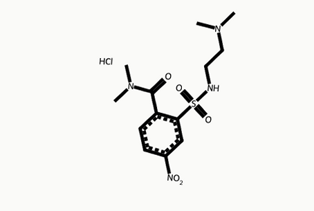 CN(C)CCNS(=O)(=O)c1cc([N+](=O)[O-])ccc1C(=O)N(C)C.Cl